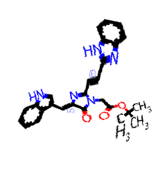 CC(C)(C)OC(=O)CN1C(=O)/C(=C/c2c[nH]c3ccccc23)N=C1/C=C/c1nc2ccccc2[nH]1